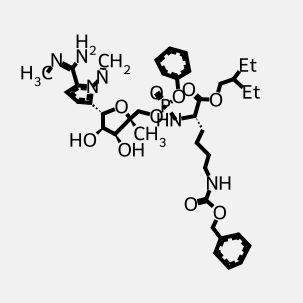 C=Nn1c(/C(N)=N\C)ccc1[C@@H]1O[C@](C)(COP(=O)(N[C@@H](CCCCNC(=O)OCc2ccccc2)C(=O)OCC(CC)CC)Oc2ccccc2)[C@@H](O)[C@H]1O